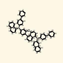 c1ccc(-c2ccc(N(c3ccc4c(c3)Oc3ccc(N(c5ccc(-c6ccccc6)cc5)c5ccc6ccccc6c5)c5cccc-4c35)c3cccc4ccccc34)cc2)cc1